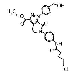 CCOC(=O)c1nn(-c2ccc(CO)cc2)c2c1CCN(c1ccc(NC(=O)CCCCCl)cc1)C2=O